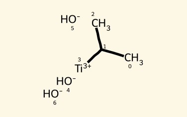 C[CH](C)[Ti+3].[OH-].[OH-].[OH-]